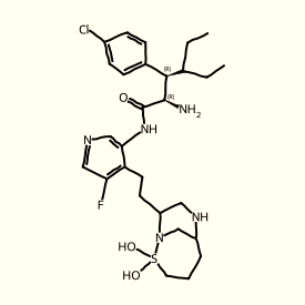 CCC(CC)[C@H](c1ccc(Cl)cc1)[C@@H](N)C(=O)Nc1cncc(F)c1CCC1CNC2CCCS(O)(O)N1C2